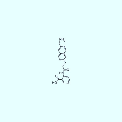 NCc1ccc2cc(CCC(=O)Nc3ccccc3C(=O)O)ccc2c1